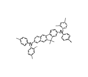 Cc1ccc(N(c2ccc3c(c2)C(C)(C)c2cc4cc(N(c5ccc(C)cc5)c5ccc(C)cc5C)ccc4cc2-3)c2ccc(C)cc2C)cc1